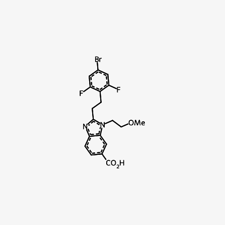 COCCn1c(CCc2c(F)cc(Br)cc2F)nc2ccc(C(=O)O)cc21